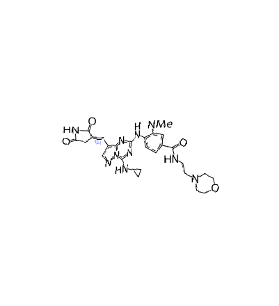 CNc1cc(C(=O)NCCN2CCOCC2)ccc1Nc1nc(NC2CC2)n2ncc(/C=C3\CC(=O)NC3=O)c2n1